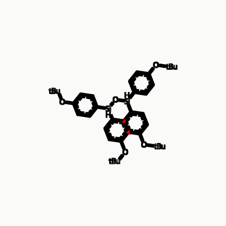 CC(C)(C)Oc1ccc([SiH](O[SiH](c2ccc(OC(C)(C)C)cc2)c2ccc(OC(C)(C)C)cc2)c2ccc(OC(C)(C)C)cc2)cc1